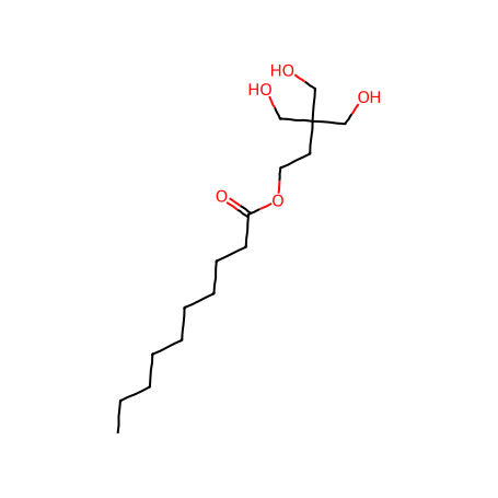 CCCCCCCCCC(=O)OCCC(CO)(CO)CO